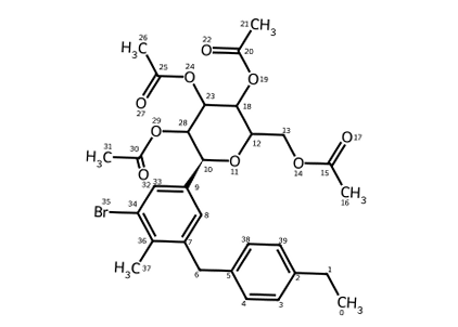 CCc1ccc(Cc2cc([C@@H]3OC(COC(C)=O)C(OC(C)=O)C(OC(C)=O)C3OC(C)=O)cc(Br)c2C)cc1